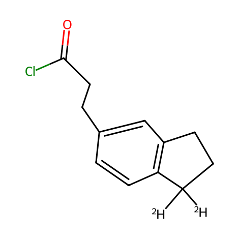 [2H]C1([2H])CCc2cc(CCC(=O)Cl)ccc21